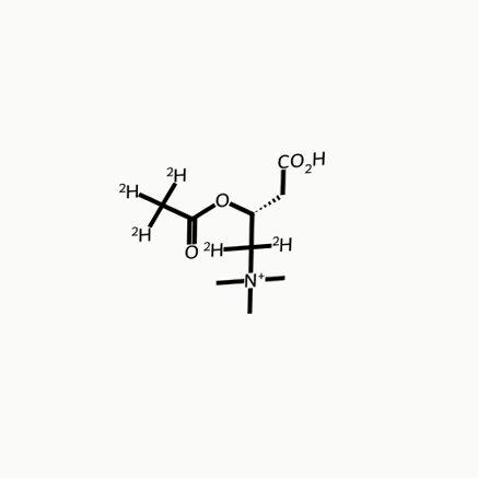 [2H]C([2H])([2H])C(=O)O[C@H](CC(=O)O)C([2H])([2H])[N+](C)(C)C